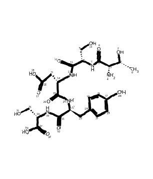 C[C@@H](O)[C@H](N)C(=O)N[C@@H](CO)C(=O)N[C@@H](CC(=O)O)C(=O)N[C@@H](Cc1ccc(O)cc1)C(=O)N[C@@H](CO)C(=O)O